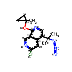 CC[C@](C)(N=[N+]=[N-])c1cnc(OC2(C)CC2)c2cnc(Cl)cc12